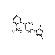 Cc1cc(C)n(-c2ncc(-c3ccccc3[N+](=O)[O-])cn2)n1